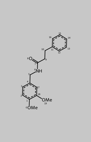 COc1ccc(CNC(=O)CCc2ccccc2)cc1OC